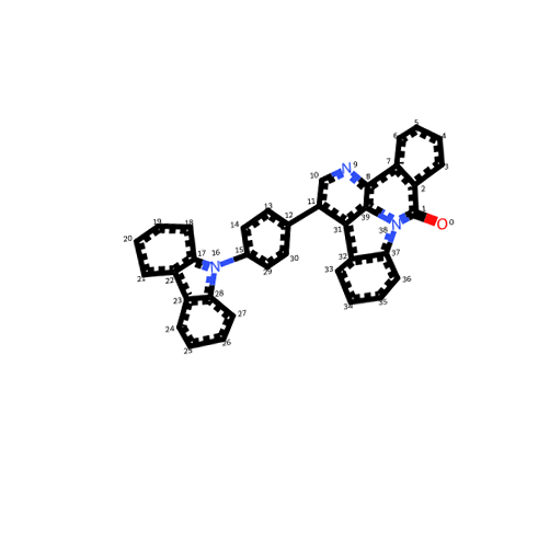 O=c1c2ccccc2c2ncc(-c3ccc(-n4c5ccccc5c5ccccc54)cc3)c3c4ccccc4n1c23